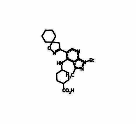 CCn1nc(C)c2c(NC3CCC(C(=O)O)CC3)c(C3=NOC4(CCCCC4)C3)cnc21